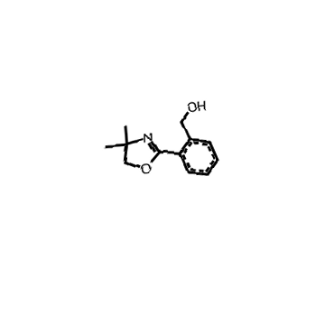 CC1(C)COC(c2ccccc2CO)=N1